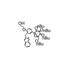 CCCCOC[C@H]1O[C@@H](c2ccc(OCCO)c(Cc3cc4ccccc4s3)c2)[C@H](OCCCC)[C@@H](OCCCC)[C@@H]1OCCCC